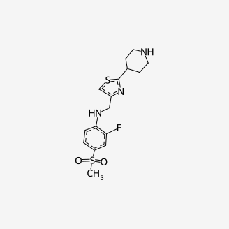 CS(=O)(=O)c1ccc(NCc2csc(C3CCNCC3)n2)c(F)c1